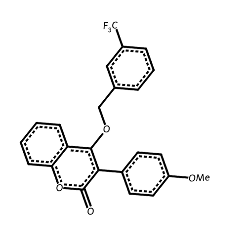 COc1ccc(-c2c(OCc3cccc(C(F)(F)F)c3)c3ccccc3oc2=O)cc1